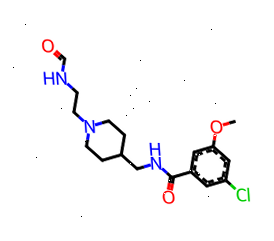 COc1cc(Cl)cc(C(=O)NCC2CCN(CCNC=O)CC2)c1